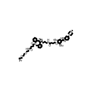 CC(C)CCOCCOCCNC(=O)CCC(=O)N1Cc2ccccc2-c2c(nnn2CCCNC(=O)CCCOc2c(C(C)(C)C)cc(-c3nc4ccc(N5CCN(C)CC5)cc4[nH]3)cc2C(C)(C)C)-c2ccccc21